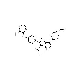 CC=CN1CCC(c2cnn3c(C(N)=O)c(-c4ccc(Oc5ccccc5F)cc4)[nH]c23)CC1